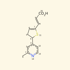 Cc1cc(C2CC=C(/C=C/C(=O)O)S2)ccn1